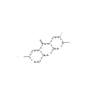 CCOC(=O)c1cc2c(=O)c3cc(C)ncc3oc2nc1N